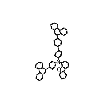 c1ccc2c(c1)cc(-c1ccc(-c3ccc(N(c4ccc(-c5cc6ccccc6c6ccccc56)cc4)c4cccc5c4oc4ccccc45)cc3)cc1)c1ccccc12